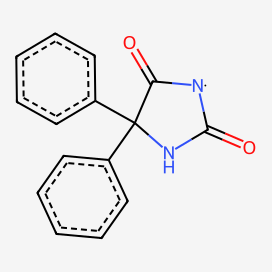 O=C1[N]C(=O)C(c2ccccc2)(c2ccccc2)N1